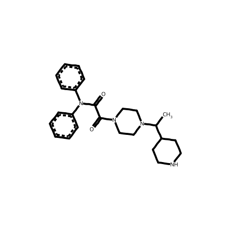 CC(C1CCNCC1)N1CCN(C(=O)C(=O)N(c2ccccc2)c2ccccc2)CC1